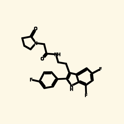 O=C(CN1CCCC1=O)NCCc1c(-c2ccc(F)cc2)[nH]c2c(F)cc(F)cc12